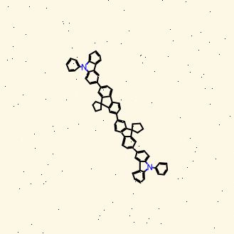 c1ccc(-n2c3ccccc3c3cc(-c4ccc5c(c4)C4(CCCC4)c4cc(-c6ccc7c(c6)C6(CCCC6)c6cc(-c8ccc9c(c8)c8ccccc8n9-c8ccccc8)ccc6-7)ccc4-5)ccc32)cc1